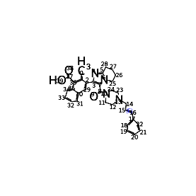 Cc1c(-c2nc3n(c2C(=O)N2CCN(C/C=C/c4ccccc4)CC2)CCCC3)cc2ccccc2c1C(=O)O